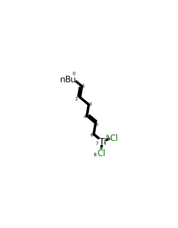 CCCCC=CCC=C[CH2][Ti]([Cl])[Cl]